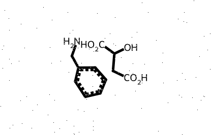 NCc1ccccc1.O=C(O)CC(O)C(=O)O